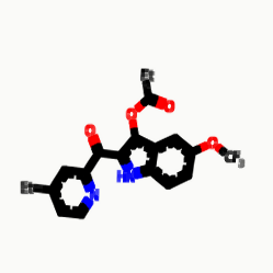 CCC(=O)Oc1c(C(=O)c2cc(CC)ccn2)[nH]c2ccc(OC(F)(F)F)cc12